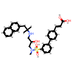 CN(CC(O)CNC(C)(C)Cc1ccc2ccccc2c1)S(=O)(=O)c1cccc(-c2ccc(C=CC(=O)O)cc2)c1